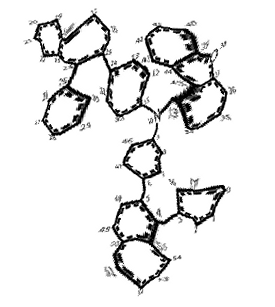 c1ccc(-c2c(-c3ccc(N(c4ccc(-c5ccc6ccccc6c5-c5ccccc5)cc4)c4cccc5oc6ccccc6c45)cc3)ccc3ccccc23)cc1